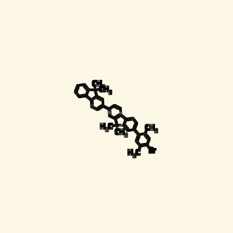 Cc1cc(-c2ccc3c(c2)C(C)(C)c2cc(-c4ccc5c(c4)C(C)(C)c4ccccc4-5)ccc2-3)c(C)cc1Br